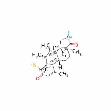 C=C1C2=C(S)C(=O)C=C(C)[C@]2(C)[C@H]2CC[C@]3(C)C(=O)[C@H](F)C[C@H]3[C@@H]2[C@@H]1C